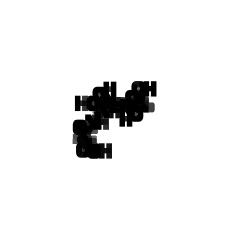 CN(CC(=O)O)C(=O)CNCCNC(NCCNCC(=O)N(C)CC(=O)O)C(=O)O